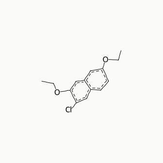 CCOc1ccc2cc(Cl)c(OCC)cc2c1